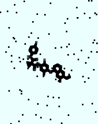 C=Cc1cc2nccc(Oc3cc(F)c(NC(=O)C4(C(=O)Nc5ccc(F)cc5)CC4)cc3F)c2cc1C